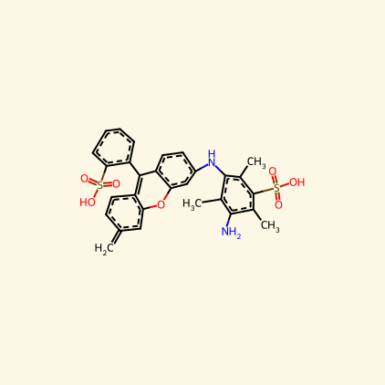 C=c1ccc2c(c1)Oc1cc(Nc3c(C)c(N)c(C)c(S(=O)(=O)O)c3C)ccc1C=2c1ccccc1S(=O)(=O)O